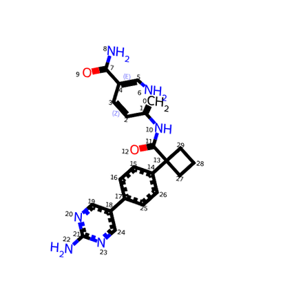 C=C(/C=C\C(=C/N)C(N)=O)NC(=O)C1(c2ccc(-c3cnc(N)nc3)cc2)CCC1